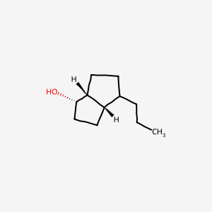 CCCC1CC[C@H]2[C@@H](O)CC[C@@H]12